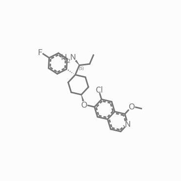 CC[C@H](N)[C@]1(c2ccc(F)cc2)CC[C@H](Oc2cc3ccnc(OC)c3cc2Cl)CC1